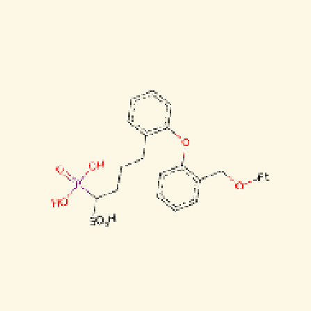 CCOCc1ccccc1Oc1ccccc1CCCC(P(=O)(O)O)S(=O)(=O)O